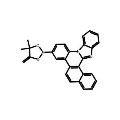 C=C1OB(c2ccc3c(c2)c2ccc4ccccc4c2c2nc4ccccc4n32)OC1(C)C